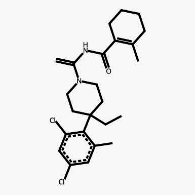 C=C(NC(=O)C1=C(C)CCCC1)N1CCC(CC)(c2c(C)cc(Cl)cc2Cl)CC1